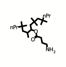 CCCC(C)(C)CC(C)C(CC(C)(C)CC(C)(C)CCC)OC(=O)CCCN